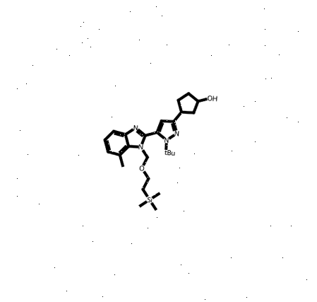 Cc1cccc2nc(-c3cc(C4CCC(O)C4)nn3C(C)(C)C)n(COCC[Si](C)(C)C)c12